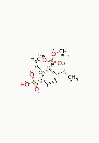 CCc1ccc(S(=O)(=O)O)c(CC)c1S(=O)(=O)OC